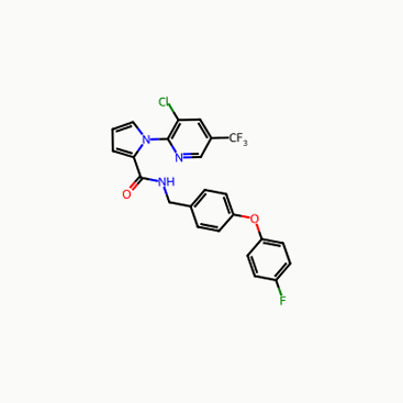 O=C(NCc1ccc(Oc2ccc(F)cc2)cc1)c1cccn1-c1ncc(C(F)(F)F)cc1Cl